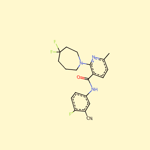 Cc1ccc(C(=O)Nc2ccc(F)c(C#N)c2)c(N2CCCC(F)(F)CC2)n1